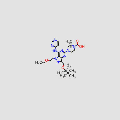 CCOCCn1nc(CO[Si](C)(C)C(C)(C)C)c2nc(N3CCN(C(=O)O)[C@H](C)C3)nc(Nc3ccncn3)c21